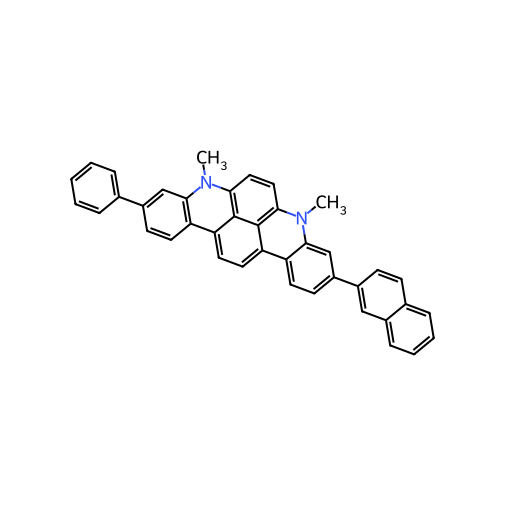 CN1c2cc(-c3ccccc3)ccc2-c2ccc3c4c(ccc1c24)N(C)c1cc(-c2ccc4ccccc4c2)ccc1-3